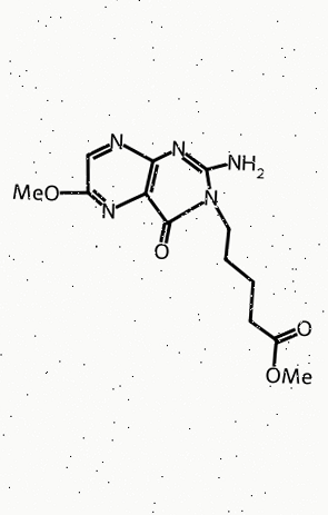 COC(=O)CCCCn1c(N)nc2ncc(OC)nc2c1=O